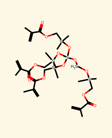 C=C(C)C(=O)OC[Si](C)(C)O[SiH2]O[Si](O[Si](C)(C)COC(=O)C(=C)C)(O[Si](C)(C)COC(=O)C(=C)C)O[Si](C)(C)COC(=O)C(=C)C